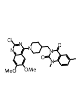 COc1cc2nc(Cl)nc(N3CCC(Cn4c(=O)c5cc(C)ccc5n(C)c4=O)CC3)c2cc1OC